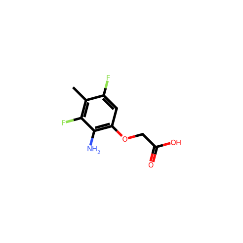 Cc1c(F)cc(OCC(=O)O)c(N)c1F